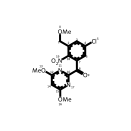 COCc1cc(Cl)cc(C(=O)c2nc(OC)cc(OC)n2)c1[N+](=O)[O-]